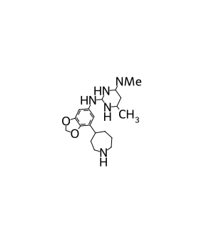 CNC1CC(C)NC(Nc2cc3c(c(C4CCCNCC4)c2)OCO3)N1